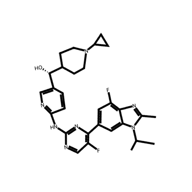 Cc1nc2c(F)cc(-c3nc(Nc4ccc([C@H](O)C5CCN(C6CC6)CC5)cn4)ncc3F)cc2n1C(C)C